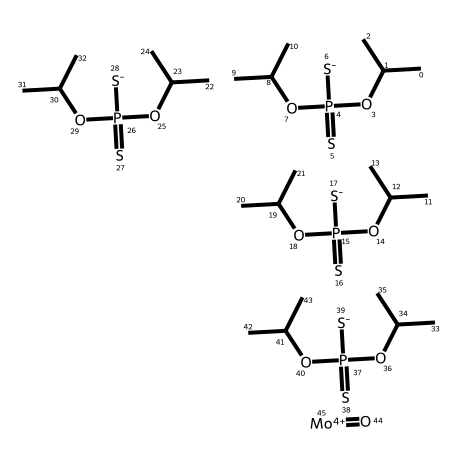 CC(C)OP(=S)([S-])OC(C)C.CC(C)OP(=S)([S-])OC(C)C.CC(C)OP(=S)([S-])OC(C)C.CC(C)OP(=S)([S-])OC(C)C.[O]=[Mo+4]